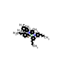 CCCCc1ccc(N(c2ccc(CCCC)cc2)c2cc(C)cc(N(c3ccc4c(c3)C(C)(C)CCC4(C)C)c3csc4ccc(CCCC)cc34)c2Cl)cc1